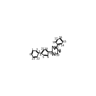 c1ccc(-c2ccc(-c3ncnc(-c4ccccc4)n3)cc2)cc1